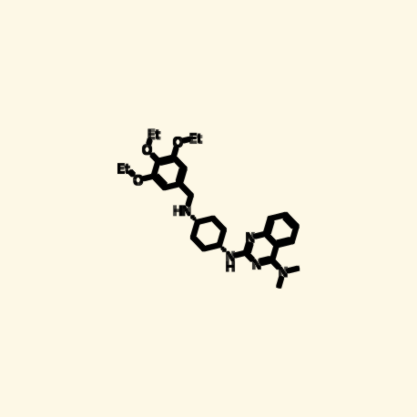 CCOc1cc(CN[C@H]2CC[C@@H](Nc3nc(N(C)C)c4ccccc4n3)CC2)cc(OCC)c1OCC